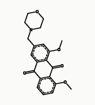 COc1cccc2c1C(=O)c1c(OC)cc(CN3CCOCC3)cc1C2=O